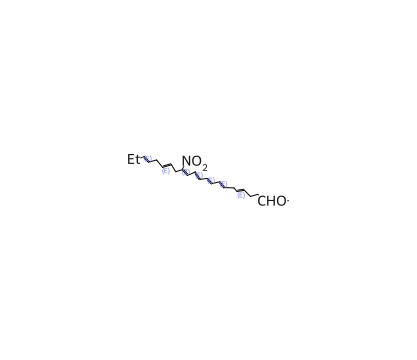 CC/C=C/C/C=C/C/C(=C/C=C/C=C/C=C/C/C=C/CC[C]=O)[N+](=O)[O-]